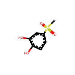 [CH2]S(=O)(=O)c1ccc(O)c(O)c1